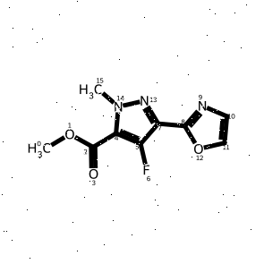 COC(=O)c1c(F)c(-c2ncco2)nn1C